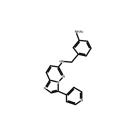 CC(=O)Nc1cccc(CNc2ccc3ncc(-c4ccncc4)n3n2)c1